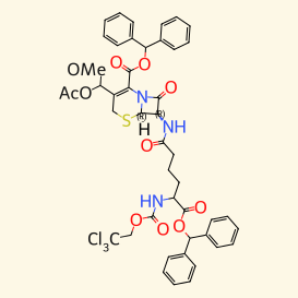 COC(OC(C)=O)C1=C(C(=O)OC(c2ccccc2)c2ccccc2)N2C(=O)[C@@H](NC(=O)CCCC(NC(=O)OCC(Cl)(Cl)Cl)C(=O)OC(c3ccccc3)c3ccccc3)[C@H]2SC1